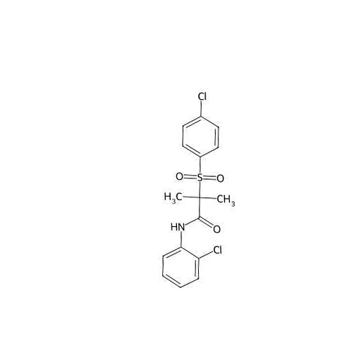 CC(C)(C(=O)Nc1ccccc1Cl)S(=O)(=O)c1ccc(Cl)cc1